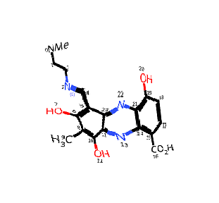 CNCC/N=C/c1c(O)c(C)c(O)c2nc3c(C(=O)O)ccc(O)c3nc12